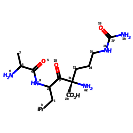 CC(C)CC(NC(=O)C(C)N)C(=O)[C@@](N)(CCCNC(N)=O)C(=O)O